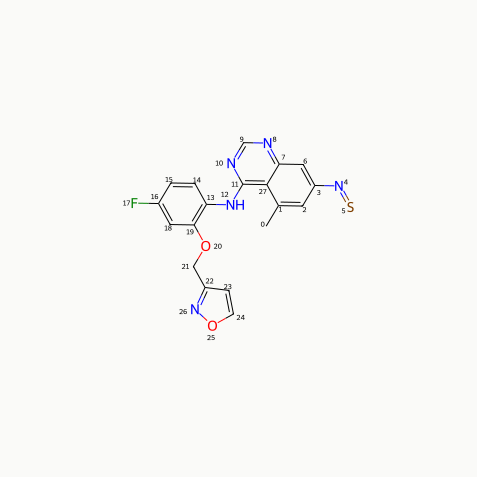 Cc1cc(N=S)cc2ncnc(Nc3ccc(F)cc3OCc3ccon3)c12